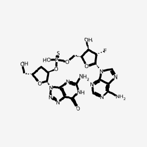 Nc1nc2c(nnn2[C@@H]2O[C@H](CO)C[C@H]2OP(O)(=S)OC[C@H]2O[C@@H](n3cnc4c(N)ncnc43)[C@@H](F)[C@@H]2O)c(=O)[nH]1